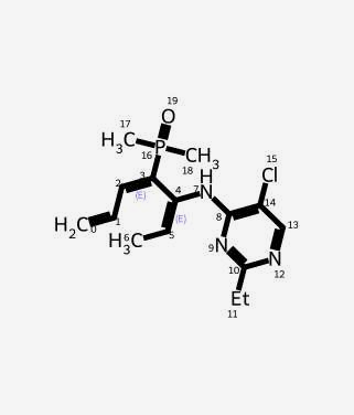 C=C/C=C(\C(=C/C)Nc1nc(CC)ncc1Cl)P(C)(C)=O